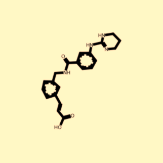 O=C(O)/C=C/c1cccc(CNC(=O)c2cccc(NC3=NCCCN3)c2)c1